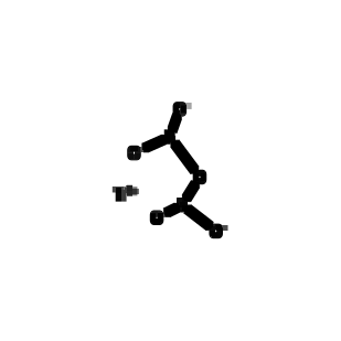 [O-]B([O-])OB([O-])[O-].[Ti+4]